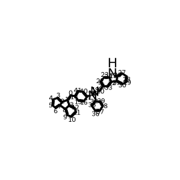 C(=C1c2ccccc2-c2ccccc21)c1ccc(N(/N=C/c2ccc3[nH]c4ccccc4c3c2)c2ccccc2)cc1